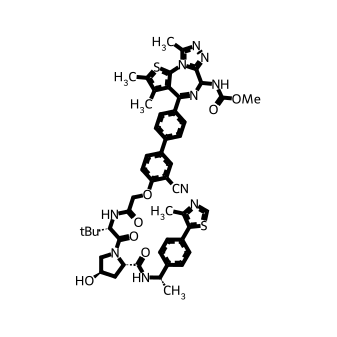 COC(=O)NC1N=C(c2ccc(-c3ccc(OCC(=O)N[C@H](C(=O)N4C[C@H](O)C[C@H]4C(=O)N[C@@H](C)c4ccc(-c5scnc5C)cc4)C(C)(C)C)c(C#N)c3)cc2)c2c(sc(C)c2C)-n2c(C)nnc21